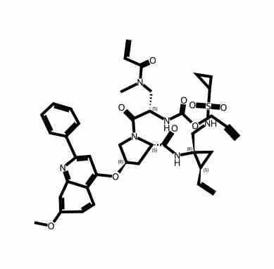 C#CCOC(=O)N[C@@H](CN(C)C(=O)C=C)C(=O)N1C[C@H](Oc2cc(-c3ccccc3)nc3cc(OC)ccc23)C[C@H]1C(=O)N[C@]1(CNS(=O)(=O)C2CC2)C[C@H]1C=C